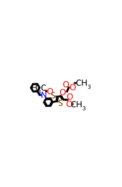 CCOC(=O)COc1c(C(=O)OC)sc2c1sc1c(N(CC3CCCCC3)C(C)=O)cccc12